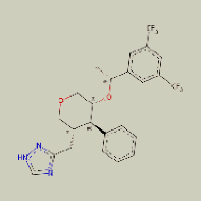 C[C@@H](O[C@H]1COC[C@@H](Cc2nc[nH]n2)[C@@H]1c1ccccc1)c1cc(C(F)(F)F)cc(C(F)(F)F)c1